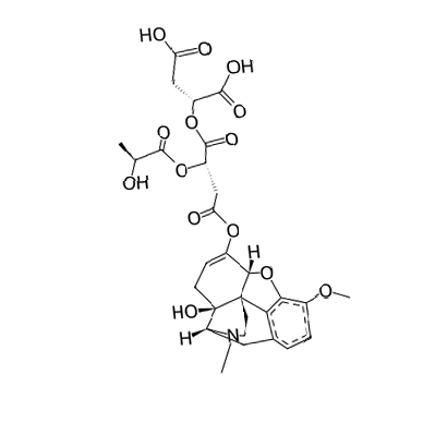 COc1ccc2c3c1O[C@H]1C(OC(=O)C[C@H](OC(=O)[C@H](C)O)C(=O)O[C@H](CC(=O)O)C(=O)O)=CC[C@@]4(O)[C@@H](C2)N(C)CC[C@]314